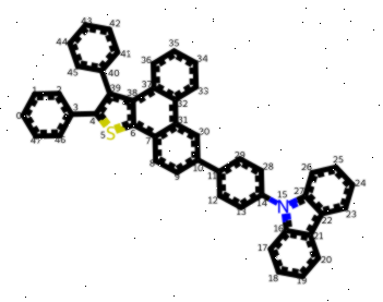 c1ccc(-c2sc3c4ccc(-c5ccc(-n6c7ccccc7c7ccccc76)cc5)cc4c4ccccc4c3c2-c2ccccc2)cc1